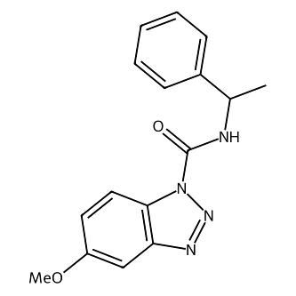 COc1ccc2c(c1)nnn2C(=O)NC(C)c1ccccc1